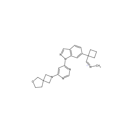 C/N=C\C1(c2ccc3cnn(-c4cc(N5CC6(CCOC6)C5)ncn4)c3c2)CCC1